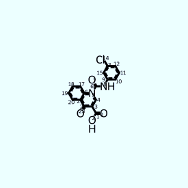 O=C(O)c1cn(C(=O)Nc2cccc(Cl)c2)c2ccccc2c1=O